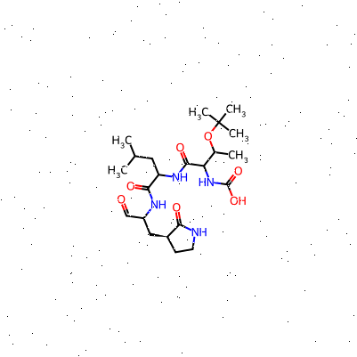 CC(C)CC(NC(=O)C(NC(=O)O)C(C)OC(C)(C)C)C(=O)NC(C=O)C[C@@H]1CCNC1=O